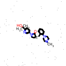 CN1CCN(c2ccccc2C[C@@H]2CCN(c3ccc(C(C)(C)O)nc3)C2=O)CC1